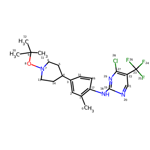 Cc1cc(C2CCN(OC(C)(C)C)CC2)ccc1Nc1ncc(C(F)(F)F)c(Cl)n1